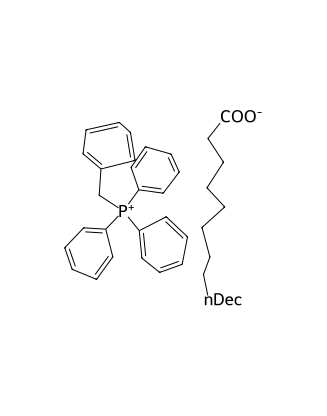 CCCCCCCCCCCCCCCCCC(=O)[O-].c1ccc(C[P+](c2ccccc2)(c2ccccc2)c2ccccc2)cc1